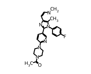 C=N/C=C\c1nc(-c2ccc(N3CCN(C(C)=O)CC3)nc2)n(-c2ccc(F)cc2)c1C